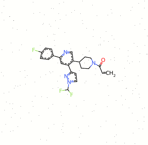 C=CC(=O)N1CCC(c2cnc(-c3ccc(F)cc3)cc2-c2ccn(C(F)F)n2)CC1